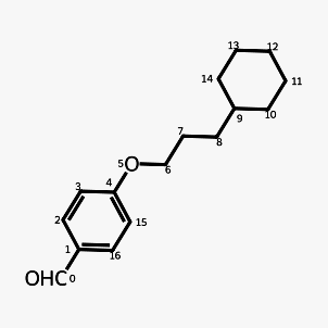 O=Cc1ccc(OCCCC2CCCCC2)cc1